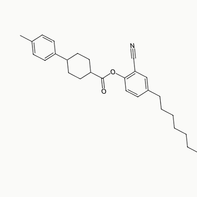 CCCCCCCc1ccc(OC(=O)C2CCC(c3ccc(C)cc3)CC2)c(C#N)c1